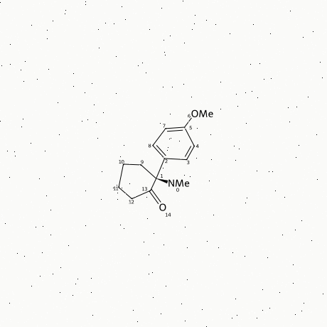 CN[C@]1(c2ccc(OC)cc2)CCCCC1=O